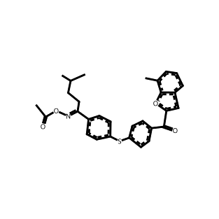 CC(=O)ON=C(CCC(C)C)c1ccc(Sc2ccc(C(=O)c3cc4cccc(C)c4o3)cc2)cc1